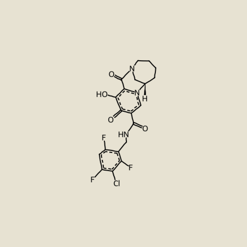 O=C(NCc1c(F)cc(F)c(Cl)c1F)c1cn2c(c(O)c1=O)C(=O)N1CCCC[C@H]2C1